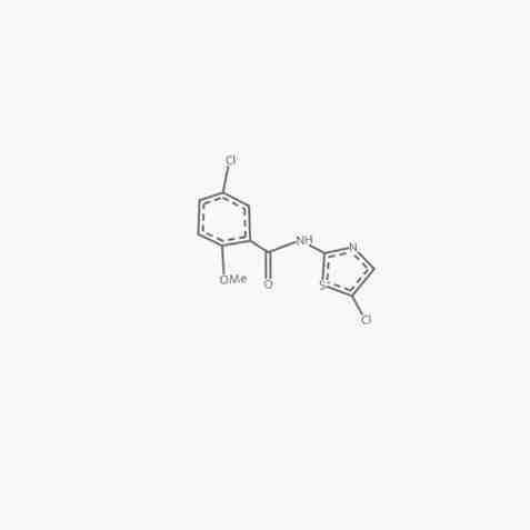 COc1ccc(Cl)cc1C(=O)Nc1ncc(Cl)s1